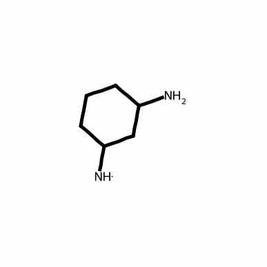 [NH]C1CCCC(N)C1